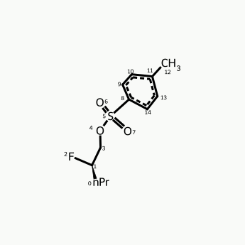 CCC[C@@H](F)COS(=O)(=O)c1ccc(C)cc1